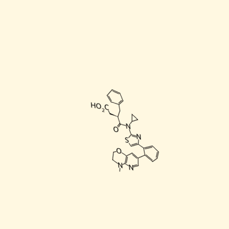 CN1CCOc2cc(-c3ccccc3-c3csc(N(C(=O)[C@@H](CC(=O)O)Cc4ccccc4)C4CC4)n3)cnc21